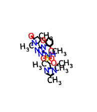 COc1cccc(OC)c1-n1c(NS(=O)(=O)[C@@H](C)[C@@H](OC(C)C)c2ncc(C)cn2)nnc1[C@@H]1CCC(=O)N1C